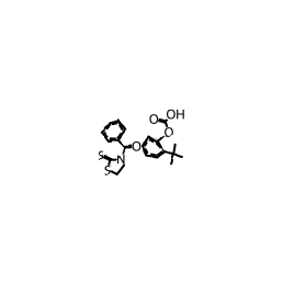 CC(C)(C)c1ccccc1OC(=O)O.O=C(c1ccccc1)N1CCSC1=S